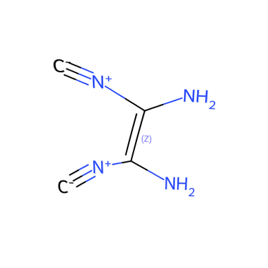 [C-]#[N+]/C(N)=C(/N)[N+]#[C-]